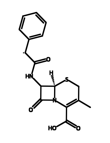 CC1=C(C(=O)O)N2C(=O)C(NC(=O)[CH]c3ccccc3)[C@H]2SC1